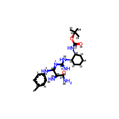 Cc1ccc(N/C(=N/C(=N)N[C@@H]2CCCC[C@@H]2NC(=O)OC(C)(C)C)C(=N)C(N)=O)cc1